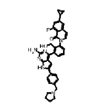 Nc1nc(-c2cccc(-n3ccc4cc(C5CC5)cc(F)c4c3=O)c2CO)c2cc(-c3ccc(CN4CCCC4)cc3)[nH]c2n1